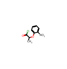 CC(Oc1ccccc1[N+](=O)[O-])C(=O)Cl